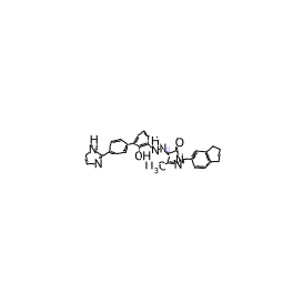 CC1=NN(c2ccc3c(c2)CCC3)C(=O)/C1=N/Nc1cccc(-c2ccc(C3=NCCN3)cc2)c1O